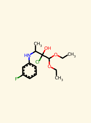 CCOC(OCC)C(O)(Cl)C(C)Nc1cccc(F)c1